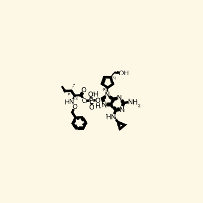 CC[C@H](C)[C@H](NOCc1ccccc1)C(=O)OP(=O)(O)O.Nc1nc(NC2CC2)c2ncn([C@H]3C=C[C@@H](CO)C3)c2n1